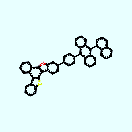 c1ccc2c(-c3c4ccccc4c(-c4ccc(-c5ccc6c(c5)oc5c7ccccc7c7c8ccccc8sc7c65)cc4)c4ccccc34)cccc2c1